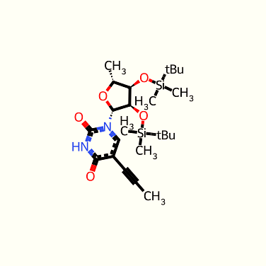 CC#Cc1cn([C@@H]2O[C@H](C)[C@@H](O[Si](C)(C)C(C)(C)C)[C@H]2O[Si](C)(C)C(C)(C)C)c(=O)[nH]c1=O